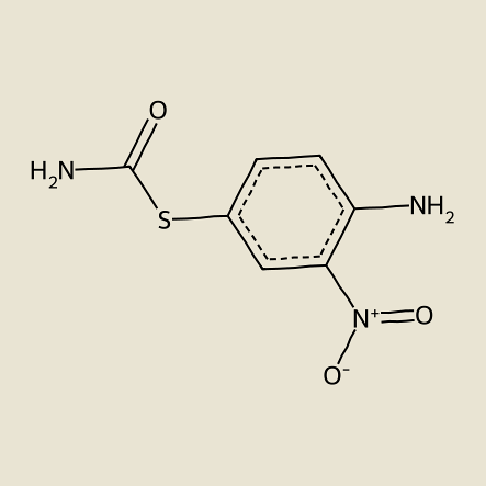 NC(=O)Sc1ccc(N)c([N+](=O)[O-])c1